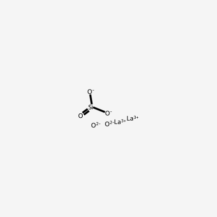 O=[Si]([O-])[O-].[La+3].[La+3].[O-2].[O-2]